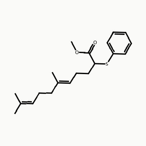 COC(=O)C(CC/C=C(\C)CCC=C(C)C)Sc1ccccc1